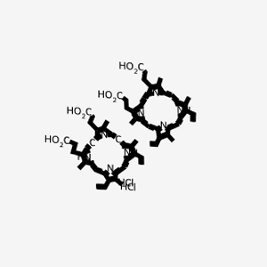 C=CC1=C(C)c2cc3[nH]c(cc4nc(cc5[nH]c(cc1n2)c(C)c5CCC(=O)O)C(CCC(=O)O)=C4C)c(C)c3C=C.C=CC1=C(C)c2cc3[nH]c(cc4nc(cc5[nH]c(cc1n2)c(C)c5CCC(=O)O)C(CCC(=O)O)=C4C)c(C)c3C=C.Cl.Cl